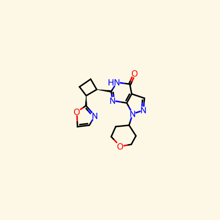 O=c1[nH]c([C@@H]2CC[C@@H]2c2ncco2)nc2c1cnn2C1CCOCC1